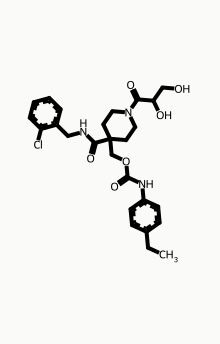 CCc1ccc(NC(=O)OCC2(C(=O)NCc3ccccc3Cl)CCN(C(=O)C(O)CO)CC2)cc1